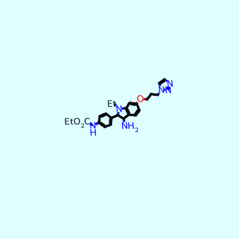 CCOC(=O)Nc1ccc(C2C(N)c3ccc(OCCCn4ccnn4)cc3N2CC)cc1